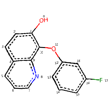 Oc1ccc2cccnc2c1Oc1cccc(F)c1